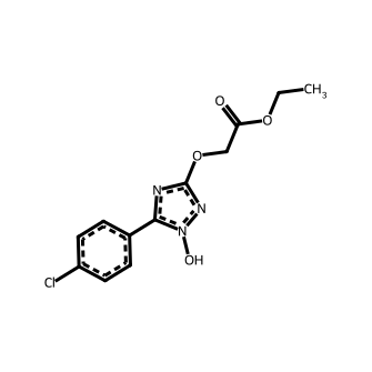 CCOC(=O)COc1nc(-c2ccc(Cl)cc2)n(O)n1